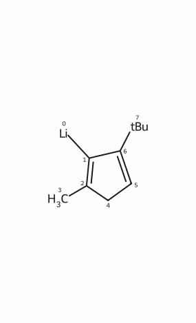 [Li][C]1=C(C)CC=C1C(C)(C)C